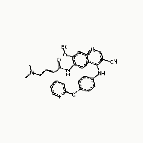 CCOc1cc2ncc(C#N)c(Nc3ccc(Oc4ccccn4)cc3)c2cc1NC(=O)/C=C/CN(C)C